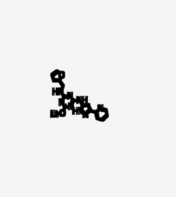 CCOc1nc(NCc2ccco2)nc(Nc2cc(-c3ccccn3)n[nH]2)n1